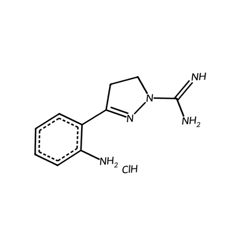 Cl.N=C(N)N1CCC(c2ccccc2N)=N1